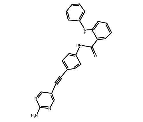 Nc1ncc(C#Cc2ccc(NC(=O)c3ccccc3Nc3ccccc3)cc2)cn1